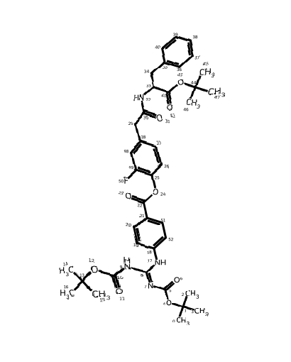 CC(C)(C)OC(=O)/N=C(/NC(=O)OC(C)(C)C)Nc1ccc(C(=O)Oc2ccc(CC(=O)N[C@@H](Cc3ccccc3)C(=O)OC(C)(C)C)cc2F)cc1